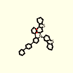 c1ccc(-c2ccc(-c3ccc(N(c4ccc5c(c4)sc4ccccc45)c4ccc5sc6ccccc6c5c4)c(-c4ccccc4)c3)cc2)cc1